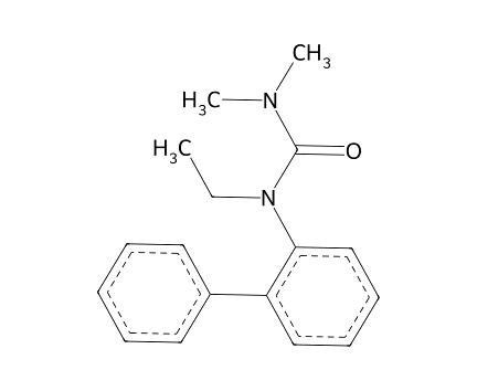 CCN(C(=O)N(C)C)c1ccccc1-c1ccccc1